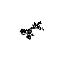 CCOC(=O)[C@H](Cc1ccccc1)NP(=O)(COCCn1cnc2c(NC3CC3)nc(N)nc21)N[C@@H](Cc1ccccc1)C(=O)OCC